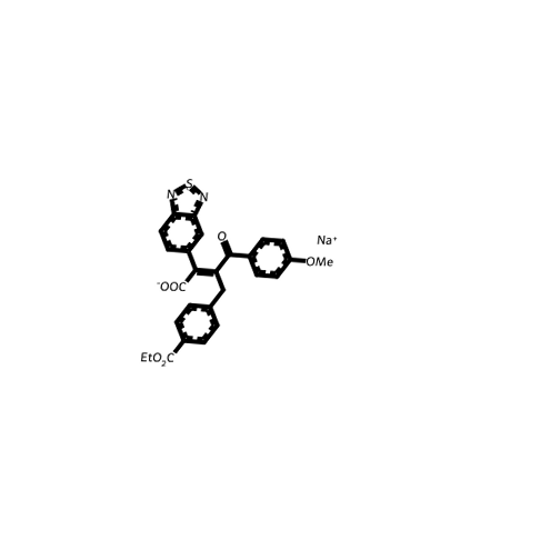 CCOC(=O)c1ccc(CC(C(=O)c2ccc(OC)cc2)=C(C(=O)[O-])c2ccc3nsnc3c2)cc1.[Na+]